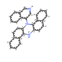 c1ccc2c(N3c4ccc5ccccc5c4Nc4ccc5ccccc5c43)cncc2c1